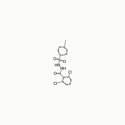 Cc1ccc(S(=O)(=O)NNC(=O)c2c(Cl)cccc2Cl)cc1